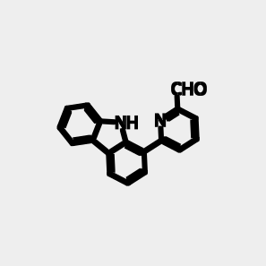 O=Cc1cccc(-c2cccc3c2[nH]c2ccccc23)n1